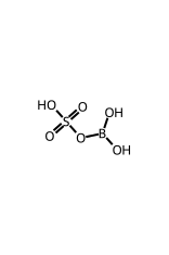 O=S(=O)(O)OB(O)O